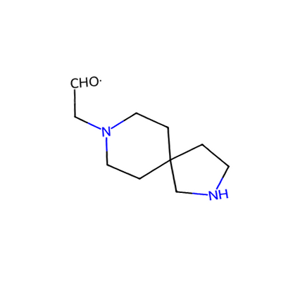 O=[C]CN1CCC2(CCNC2)CC1